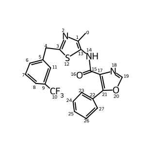 Cc1nc(Cc2cccc(C(F)(F)F)c2)sc1NC(=O)c1ncoc1-c1ccccc1